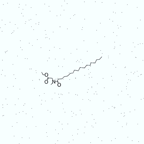 CCCCCCCCCCCCCCCCCC(=O)N(C)CC(=O)OCC